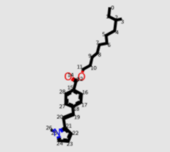 CCC(C)CCCCCCCCOC(=O)c1ccc(/C=C/c2cccn2C)cc1